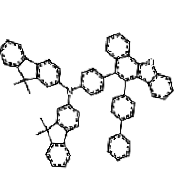 CC1(C)c2ccccc2-c2ccc(N(c3ccc(-c4c(-c5ccc(-c6ccccc6)cc5)c5c6ccccc6oc5c5ccccc45)cc3)c3ccc4c(c3)C(C)(C)c3ccccc3-4)cc21